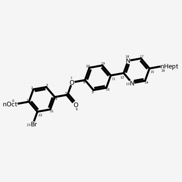 CCCCCCCCc1ccc(C(=O)Oc2ccc(-c3ncc(CCCCCCC)cn3)cc2)cc1Br